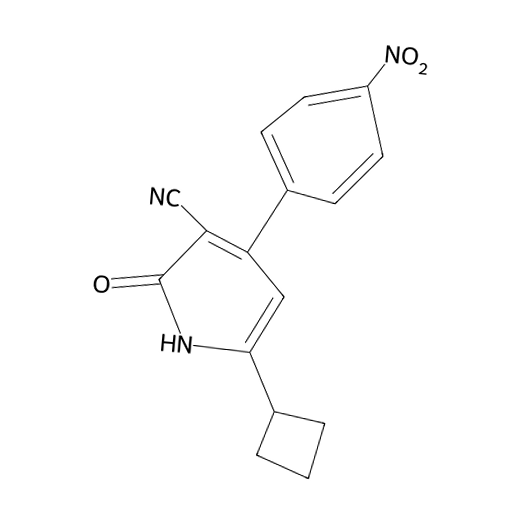 N#Cc1c(-c2ccc([N+](=O)[O-])cc2)cc(C2CCC2)[nH]c1=O